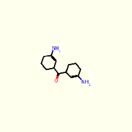 NC1=CC(C(=O)C2C=C(N)CCC2)CCC1